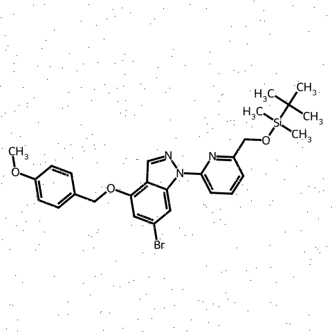 COc1ccc(COc2cc(Br)cc3c2cnn3-c2cccc(CO[Si](C)(C)C(C)(C)C)n2)cc1